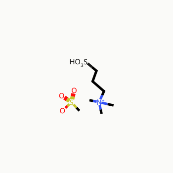 CS(=O)(=O)[O-].C[N+](C)(C)CCCS(=O)(=O)O